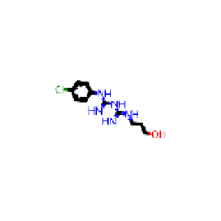 N=C(NCCCO)NC(=N)Nc1ccc(Cl)cc1